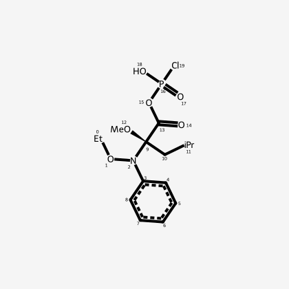 CCON(c1ccccc1)[C@](CC(C)C)(OC)C(=O)OP(=O)(O)Cl